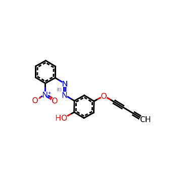 C#CC#COc1ccc(O)c(/N=N/c2ccccc2[N+](=O)[O-])c1